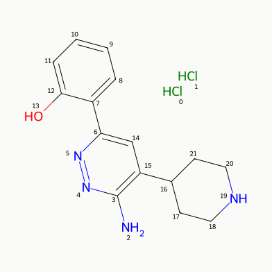 Cl.Cl.Nc1nnc(-c2ccccc2O)cc1C1CCNCC1